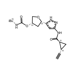 C#C[C@H]1C[C@@H]1C(=O)Nc1cc([C@@H]2C[C@H](OC(=O)N[C@@H](C)CC)CO2)[nH]n1